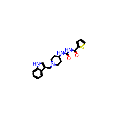 O=C(NC(=O)c1cccs1)NC1CCN(Cc2c[nH]c3ccccc23)CC1